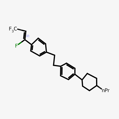 CCCC1CCC(c2ccc(CCc3ccc(/C(F)=C/C(F)(F)F)cc3)cc2)CC1